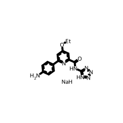 CCOc1cc(C(=O)Nc2nnn[nH]2)nc(-c2ccc(N)cc2)c1.[NaH]